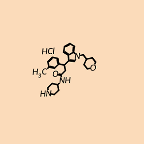 Cc1cccc(C(CC(=O)NC2CCNCC2)c2cn(CC3CCOCC3)c3ccccc23)c1.Cl